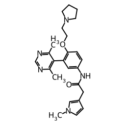 Cc1ncnc(C)c1-c1cc(NC(=O)Cc2ccn(C)c2)ccc1OCCN1CCCC1